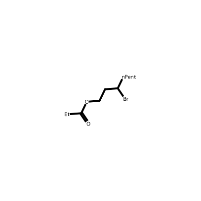 CCCCCC(Br)CCOC(=O)CC